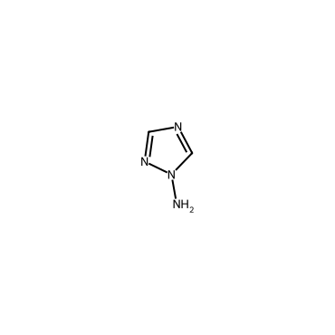 Nn1cncn1